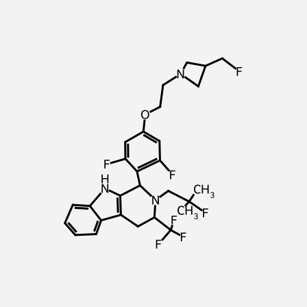 CC(C)(F)CN1C(c2c(F)cc(OCCN3CC(CF)C3)cc2F)c2[nH]c3ccccc3c2CC1C(F)(F)F